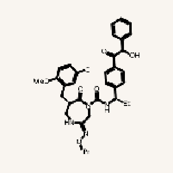 CC[C@@H](NC(=O)N1CC(=NOC(C)C)NC[C@@H](Cc2cc(Cl)ccc2OC)C1=O)c1ccc(C(=O)C(O)c2ccccc2)cc1